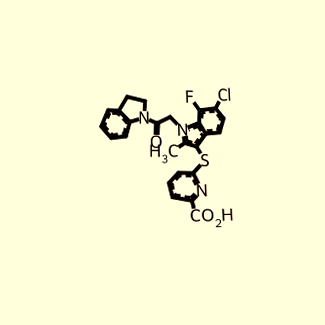 Cc1c(Sc2cccc(C(=O)O)n2)c2ccc(Cl)c(F)c2n1CC(=O)N1CCc2ccccc21